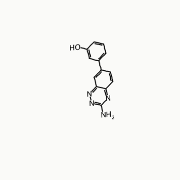 Nc1nnc2cc(-c3cccc(O)c3)ccc2n1